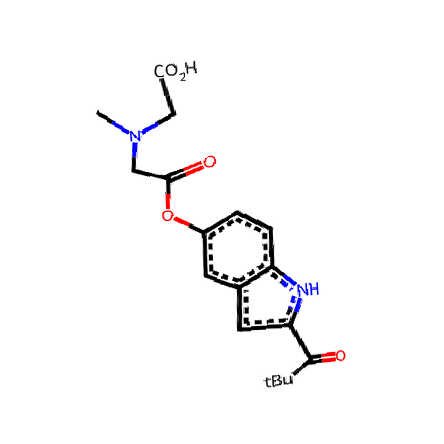 CN(CC(=O)O)CC(=O)Oc1ccc2[nH]c(C(=O)C(C)(C)C)cc2c1